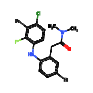 CCc1ccc(Nc2ccc(Cl)c(C(C)C)c2F)c(CC(=O)N(C)C)c1